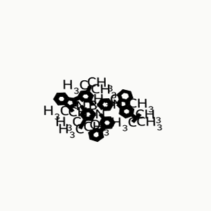 CC(C)(C)c1cc2c3c(c1)-n1c4c(c5cc(C(C)(C)C)cc(c51)B3c1ccc(N3c5ccc(C(C)(C)C)cc5C5(C)CCCCC35C)cc1N2c1cccc2c1oc1ccccc12)-c1ccccc1C4(C)C